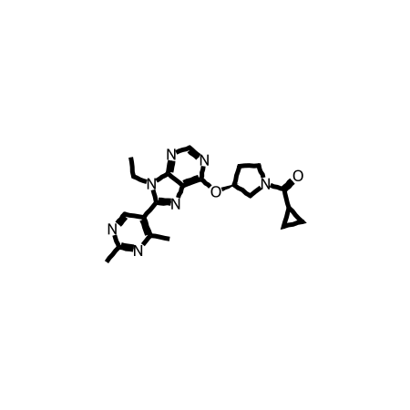 CCn1c(-c2cnc(C)nc2C)nc2c(O[C@H]3CCN(C(=O)C4CC4)C3)ncnc21